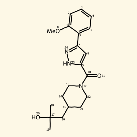 COc1ccccc1-c1cc(C(=O)N2CCC(CC(C)(C)O)CC2)[nH]n1